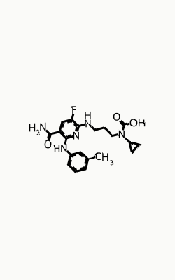 Cc1cccc(Nc2nc(NCCCN(C(=O)O)C3CC3)c(F)cc2C(N)=O)c1